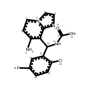 Nc1ccn2ccnc2c1C(NC(=O)O)c1cc(F)ccc1Cl